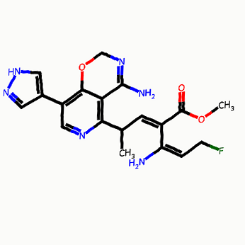 COC(=O)C(=C/C(C)c1ncc(-c2cn[nH]c2)c2c1C(N)=NCO2)/C(N)=C\CF